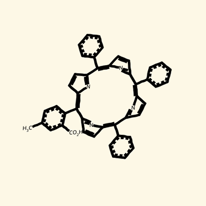 Cc1ccc(C2=C3C=CC(=N3)C(c3ccccc3)=C3C=CC(=N3)C(c3ccccc3)=C3C=CC(=N3)C(c3ccccc3)=C3C=CC2=N3)c(C(=O)O)c1